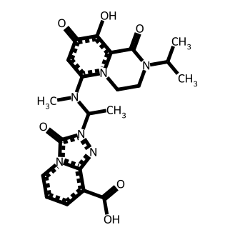 CC(C)N1CCn2c(N(C)C(C)n3nc4c(C(=O)O)cccn4c3=O)cc(=O)c(O)c2C1=O